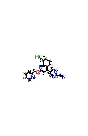 Cl.N#Cc1ncc(-c2cc(OCc3ccccn3)nc3c2CCCC3)cn1